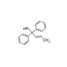 [CH2]C=CC(CCC)(c1ccccc1)c1ccccc1